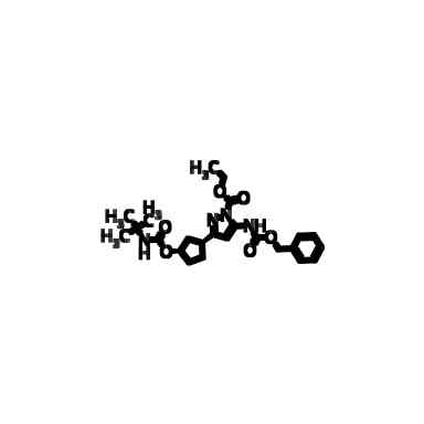 CCOC(=O)n1nc([C@H]2CC[C@@H](OC(=O)NC(C)(C)C)C2)cc1NC(=O)OCc1ccccc1